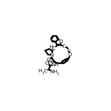 C[C@H](N)C(=O)N[C@H]1Cc2ccc(cc2)OCCCc2oc3ccccc3c2C[C@@H]2CCCN2C1=O